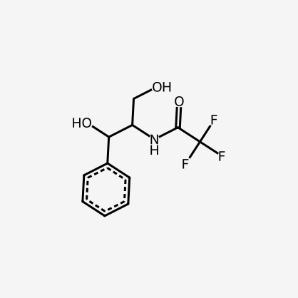 O=C(NC(CO)C(O)c1ccccc1)C(F)(F)F